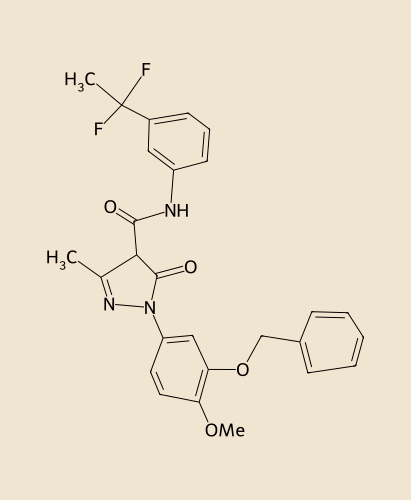 COc1ccc(N2N=C(C)C(C(=O)Nc3cccc(C(C)(F)F)c3)C2=O)cc1OCc1ccccc1